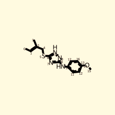 CC=C(C)CSc1nc(Nc2ccc(OC)cc2)n[nH]1